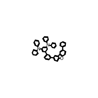 C1=CCC(N(C2=CC(N(C3=CCCC=C3)c3ccccc3)=CC(c3cccc(-c4ccc5oc6ccc(-c7ccccc7)cc6c5c4)c3)C2)c2ccccc2)C=C1